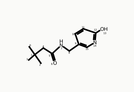 CC(C)(C)CC(=O)NCc1ccc(O)nc1